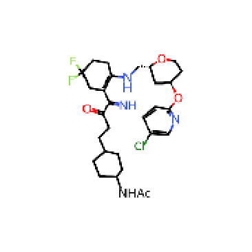 CC(=O)NC1CCC(CCC(=O)C(=N)C2=C(NC[C@H]3C[C@H](Oc4ccc(Cl)cn4)CCO3)CCC(F)(F)C2)CC1